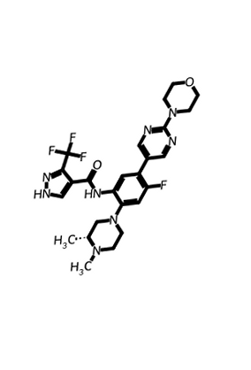 C[C@@H]1CN(c2cc(F)c(-c3cnc(N4CCOCC4)nc3)cc2NC(=O)c2c[nH]nc2C(F)(F)F)CCN1C